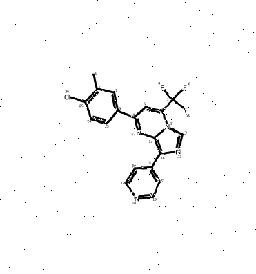 Cc1cc(-c2cc(C(F)(F)F)n3cnc(-c4ccncc4)c3n2)ccc1Cl